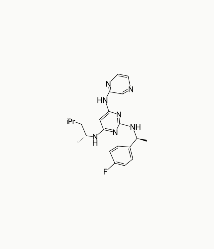 CC(C)C[C@@H](C)Nc1cc(Nc2cnccn2)nc(N[C@@H](C)c2ccc(F)cc2)n1